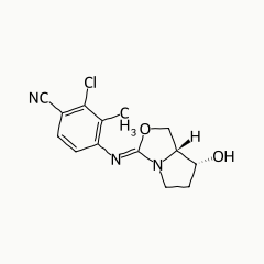 Cc1c(N=C2OC[C@@H]3[C@H](O)CCN23)ccc(C#N)c1Cl